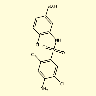 Nc1cc(Cl)c(S(=O)(=O)Nc2cc(S(=O)(=O)O)ccc2Cl)cc1Cl